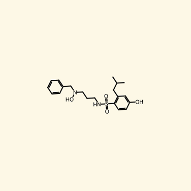 CC(C)Cc1cc(O)ccc1S(=O)(=O)NCCCN(O)Cc1ccccc1